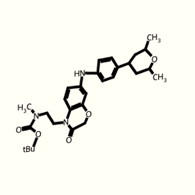 CC1CC(c2ccc(Nc3ccc4c(c3)OCC(=O)N4CCN(C)C(=O)OC(C)(C)C)cc2)CC(C)O1